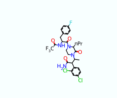 CCCC1C(=O)N(C(C)C(C(N)=O)c2ccc(Cl)cc2Cl)CCN1C(=O)C(Cc1ccc(F)cc1)NC(=O)C(F)(F)F